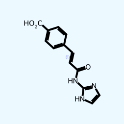 O=C(/C=C/c1ccc(C(=O)O)cc1)Nc1ncc[nH]1